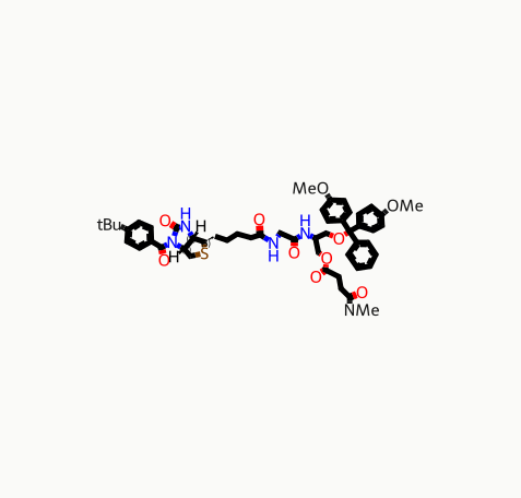 CNC(=O)CCC(=O)OCC(COC(c1ccccc1)(c1ccc(OC)cc1)c1ccc(OC)cc1)NC(=O)CNC(=O)CCCC[C@@H]1SC[C@H]2[C@@H]1NC(=O)N2C(=O)c1ccc(C(C)(C)C)cc1